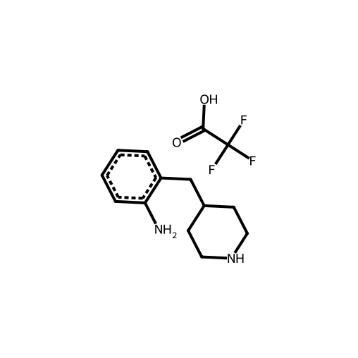 Nc1ccccc1CC1CCNCC1.O=C(O)C(F)(F)F